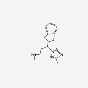 CNCCC(C1Cc2ccccc2O1)n1nnc(C)n1